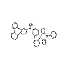 C=C(c1ccc2c(c1)-c1ccccc1C21c2ccccc2N(c2ccccc2)c2ccccc21)c1ccc2c3ccccc3c3ccccc3c2c1